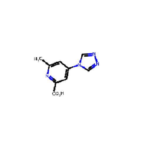 Cc1cc(-n2cnnc2)cc(C(=O)O)n1